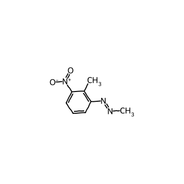 C/N=N/c1cccc([N+](=O)[O-])c1C